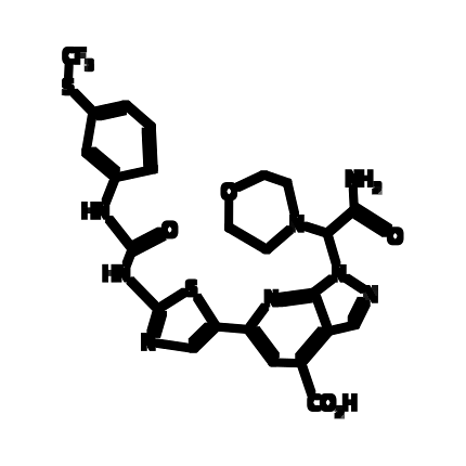 NC(=O)C(N1CCOCC1)n1ncc2c(C(=O)O)cc(-c3cnc(NC(=O)Nc4cccc(SC(F)(F)F)c4)s3)nc21